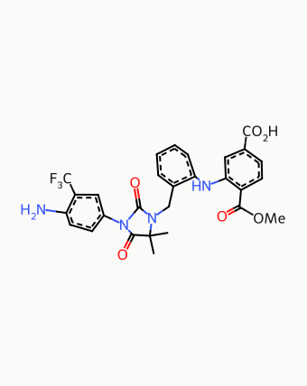 COC(=O)c1ccc(C(=O)O)cc1Nc1ccccc1CN1C(=O)N(c2ccc(N)c(C(F)(F)F)c2)C(=O)C1(C)C